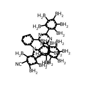 Bc1c(B)c(B)c(-c2nc(-c3ccccc3-n3c4c(B)c(B)c(B)c(B)c4c4c(B)c(B)c(C#N)c(B)c43)nc(-c3c(B)c(B)c(B)c(B)c3B)n2)c(B)c1B